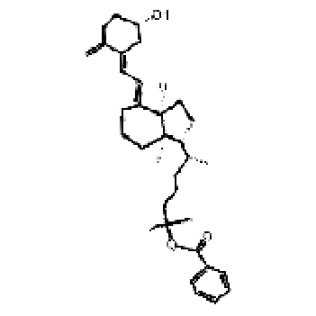 C=C1CC[C@H](O)CC1=CC=C1CCC[C@@]2(C)[C@@H]1CC[C@@H]2[C@H](C)CCCC(C)(C)OC(=O)c1ccccc1